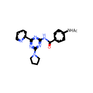 CC(=O)Nc1ccc(C(=O)Nc2nc(-c3ccccn3)nc(N3CCCC3)n2)cc1